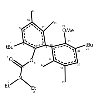 CCN(CC)C(=O)Oc1c(C(C)(C)C)cc(C)c(C)c1-c1c(C)c(C)cc(C(C)(C)C)c1OC